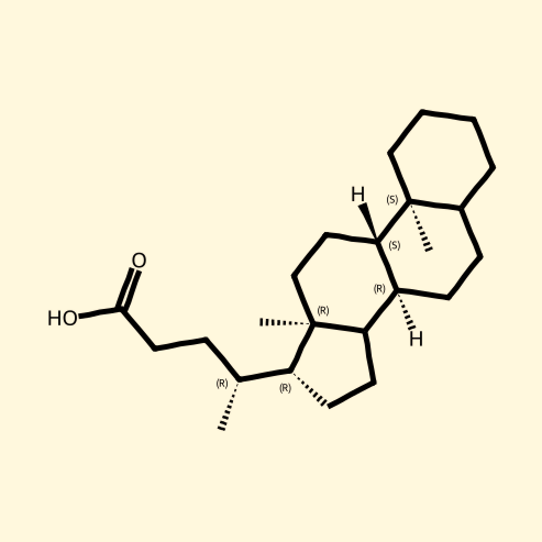 C[C@H](CCC(=O)O)[C@H]1CCC2[C@@H]3CCC4CCCC[C@]4(C)[C@H]3CC[C@@]21C